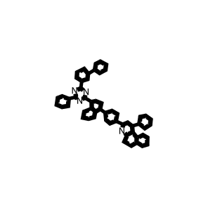 c1ccc(-c2cccc(-c3nc(-c4ccccc4)nc(-c4ccc(-c5ccc(-c6cc(-c7ccccc7)c7c(ccc8ccccc87)n6)cc5)c5ccccc45)n3)c2)cc1